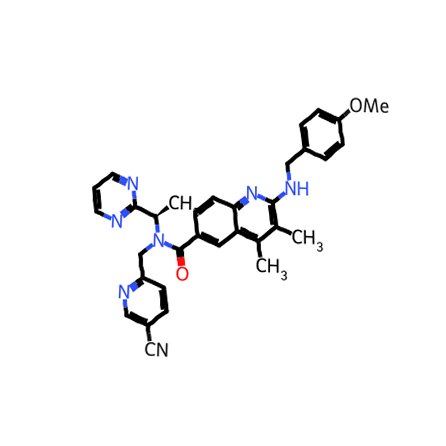 COc1ccc(CNc2nc3ccc(C(=O)N(Cc4ccc(C#N)cn4)[C@H](C)c4ncccn4)cc3c(C)c2C)cc1